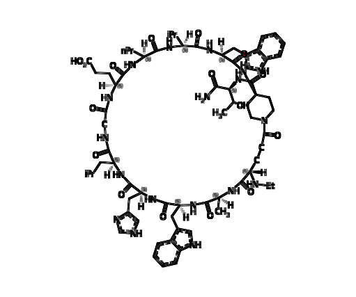 CCC[C@@H]1NC(=O)[C@H](CCC(=O)O)NC(=O)CNC(=O)[C@H](CC(C)C)NC(=O)[C@H](Cc2c[nH]cn2)NC(=O)[C@H](Cc2c[nH]c3ccccc23)NC(=O)[C@H](C)NC(=O)[C@@H](NCC)CCC(=O)N2CCC(C(=O)N[C@H](C(N)=O)C(C)O)(CC2)NC(=O)[C@H](Cc2c[nH]c3ccccc23)NC(=O)[C@H](C(C)C)NC1=O